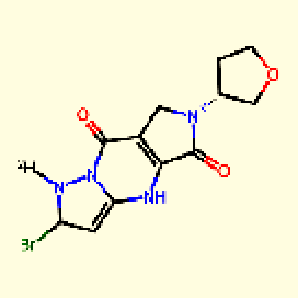 [2H]N1C(Br)C=C2NC3=C(CN([C@@H]4CCOC4)C3=O)C(=O)N21